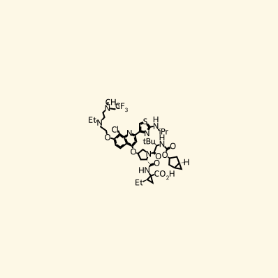 CC[C@@H]1CC1(NC(=O)[C@@H]1C[C@@H](Oc2cc(-c3csc(NC(C)C)n3)nc3c(Cl)c(OCCN(CC)CCN(C)CC(F)(F)F)ccc23)CN1C(=O)[C@@H](NC(=O)O[C@@H]1CC2C[C@@H]2C1)C(C)(C)C)C(=O)O